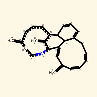 C=C1/C=C\C=C/CC2=CC=CC3c4cccc(=C)ccnc(c4=C)/C(=C/1)C23